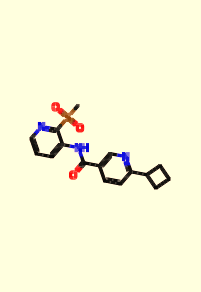 CS(=O)(=O)c1ncccc1NC(=O)c1ccc(C2CCC2)nc1